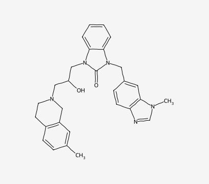 Cc1ccc2c(c1)CN(CC(O)Cn1c(=O)n(Cc3ccc4ncn(C)c4c3)c3ccccc31)CC2